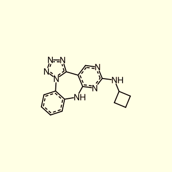 c1ccc2c(c1)Nc1nc(NC3CCC3)ncc1-c1nnnn1-2